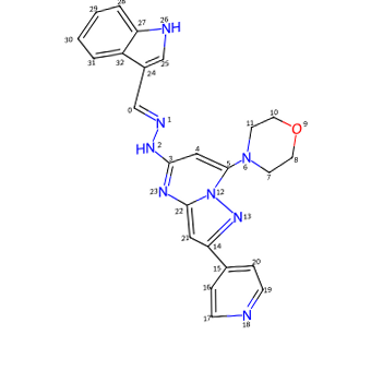 C(=NNc1cc(N2CCOCC2)n2nc(-c3ccncc3)cc2n1)c1c[nH]c2ccccc12